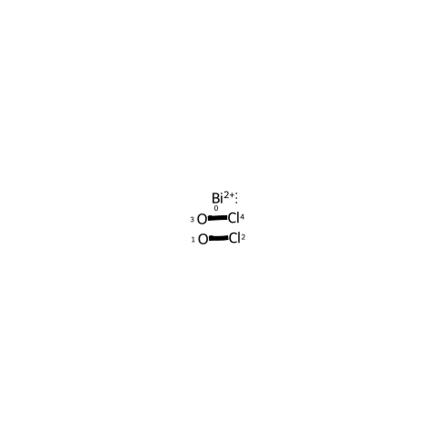 [Bi+2].[O-]Cl.[O-]Cl